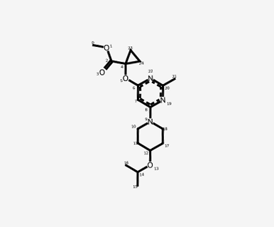 COC(=O)C1(Oc2cc(N3CCC(OC(C)C)CC3)nc(C)n2)CC1